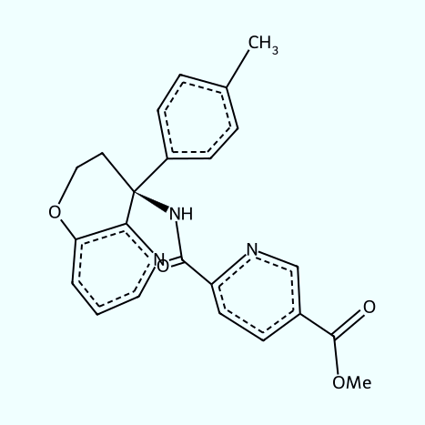 COC(=O)c1ccc(C(=O)N[C@]2(c3ccc(C)cc3)CCOc3cccnc32)nc1